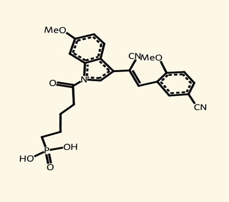 COc1ccc2c(/C(C#N)=C/c3cc(C#N)ccc3OC)cn(C(=O)CCCCP(=O)(O)O)c2c1